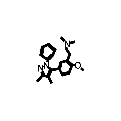 COc1ccc(-c2c(C)c(C)nn2-c2ccccc2)cc1CCN(C)C